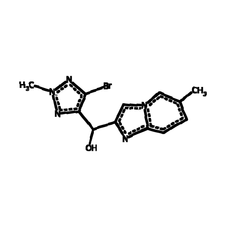 Cc1ccc2nc(C(O)c3nn(C)nc3Br)cn2c1